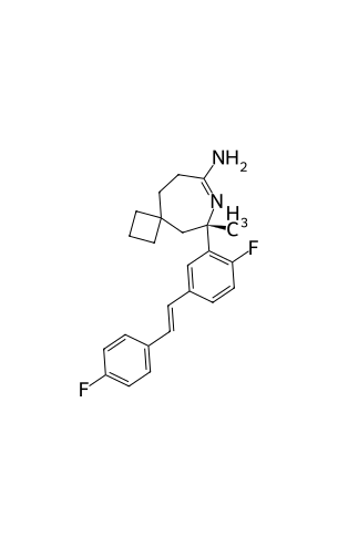 C[C@@]1(c2cc(/C=C/c3ccc(F)cc3)ccc2F)CC2(CCC2)CCC(N)=N1